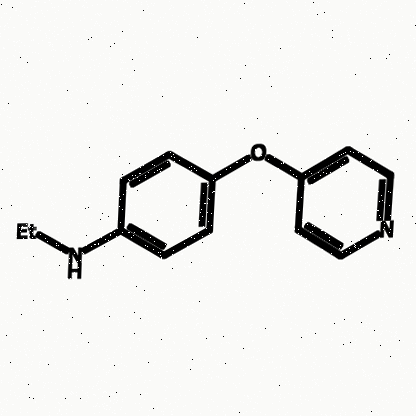 CCNc1ccc(Oc2ccncc2)cc1